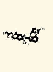 Cn1c(-c2cc3cccc(OCCO)c3n2Cc2ccno2)nc2cc3c(cc21)CCN(CC(N)CF)C3=O